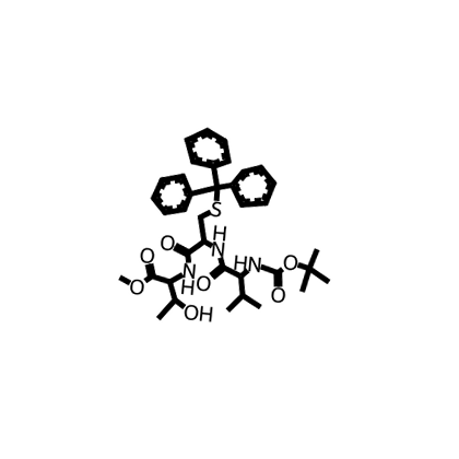 COC(=O)C(NC(=O)C(CSC(c1ccccc1)(c1ccccc1)c1ccccc1)NC(=O)C(NC(=O)OC(C)(C)C)C(C)C)C(C)O